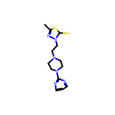 CC1=NN(CCN2CCN(c3ncccn3)CC2)C(S)S1